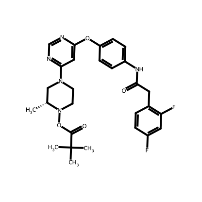 C[C@@H]1CN(c2cc(Oc3ccc(NC(=O)Cc4ccc(F)cc4F)cc3)ncn2)CCN1OC(=O)C(C)(C)C